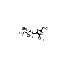 Cc1oc(CCl)nc1CO[Si](C)(C)C(C)(C)C